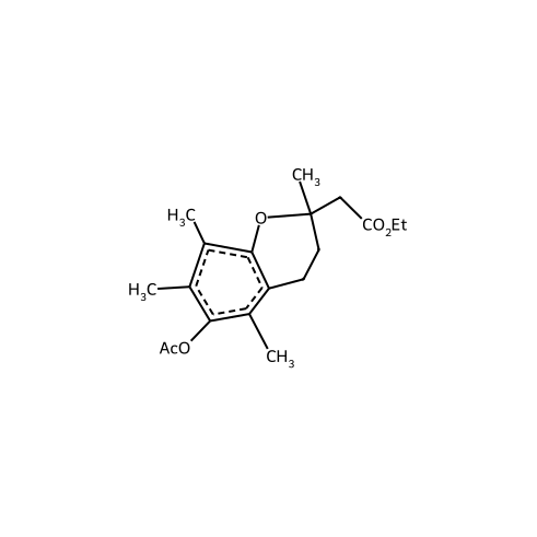 CCOC(=O)CC1(C)CCc2c(C)c(OC(C)=O)c(C)c(C)c2O1